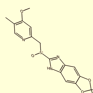 COc1cc(C[S+]([O-])c2nc3cc4c(cc3[nH]2)OC(F)(F)O4)ncc1C